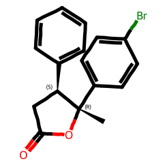 C[C@@]1(c2ccc(Br)cc2)OC(=O)C[C@H]1c1ccccc1